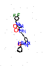 O=C(CNc1ncnc2ccc(C#CCNC(=O)c3cncn(Cc4ccc(F)c(F)c4)c3=O)cc12)c1ccccc1